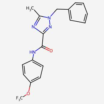 Cc1nc(C(=O)Nc2ccc(OC(F)(F)F)cc2)nn1Cc1ccccc1